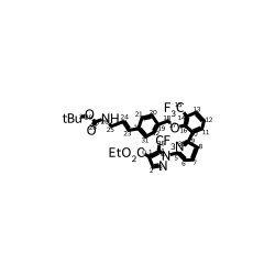 CCOC(=O)c1cnn(-c2cccc(-c3cccc(C(F)(F)F)c3OCc3ccc(/C=C/CNC(=O)OC(C)(C)C)cc3)n2)c1C(F)(F)F